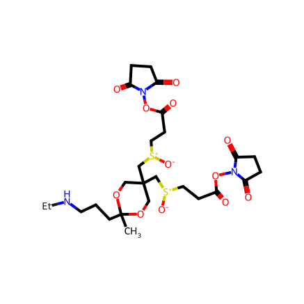 CCNCCCC1(C)OCC(C[S+]([O-])CCC(=O)ON2C(=O)CCC2=O)(C[S+]([O-])CCC(=O)ON2C(=O)CCC2=O)CO1